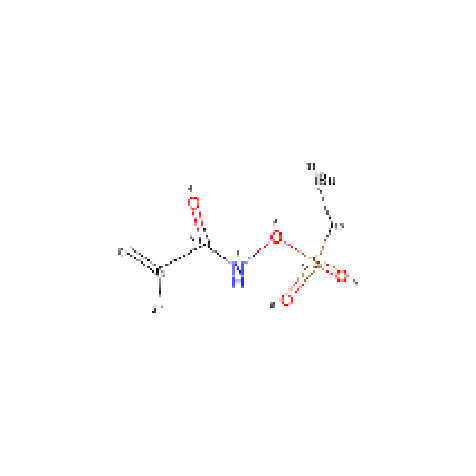 C=C(C)C(=O)NOS(=O)(=O)CC(C)CC